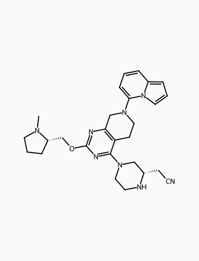 CN1CCC[C@H]1COc1nc2c(c(N3CCN[C@@H](CC#N)C3)n1)CCN(c1cccc3cccn13)C2